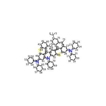 CC(C)c1cc(C(C)C)c(B2c3ccc(N(c4ccccc4)c4ccccc4)cc3Sc3cc4c(cc32)B2c3ccccc3Sc3cc(N(c5ccccc5)c5ccccc5)cc(c32)N4c2ccccc2)c(C(C)C)c1